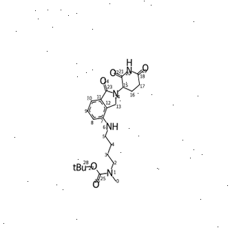 CN(CCCCNc1cccc2c1CN(C1CCC(=O)NC1=O)C2=O)C(=O)OC(C)(C)C